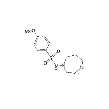 COc1ccc(S(=O)(=O)NN2CCC[N]CC2)cc1